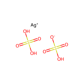 O=S(=O)(O)O.O=S(=O)([O-])O.[Ag+]